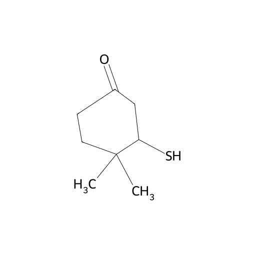 CC1(C)CCC(=O)CC1S